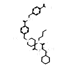 CCCCN1C(=O)[C@@H]([C@H](O)C2CCCCC2)NC(=O)C12CCN(Cc1ccc(C(=O)NCc3ccc(C(=O)O)cc3)cc1)CC2.Cl